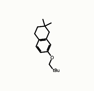 CC(C)(C)COc1ccc2c(c1)CC(C)(C)CC2